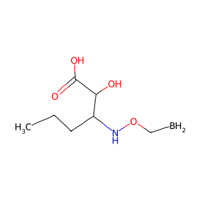 BCONC(CCC)C(O)C(=O)O